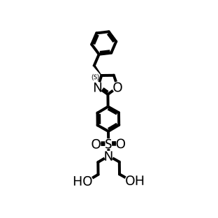 O=S(=O)(c1ccc(C2=N[C@@H](Cc3ccccc3)CO2)cc1)N(CCO)CCO